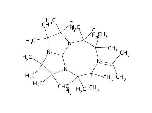 CC(C)=[N+]1C(C)(C)C(C)(C)N2C3N(C(C)(C)C2(C)C)C(C)(C)C(C)(C)N3C(C)(C)C1(C)C